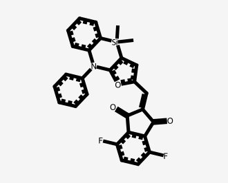 C[Si]1(C)c2ccccc2N(c2ccccc2)c2oc(C=C3C(=O)c4c(F)ccc(F)c4C3=O)cc21